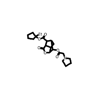 CCC1(OC(=O)C2C3CC4C(OC(=O)C42)C3OC(=O)CN2CCCC2)CCCC1